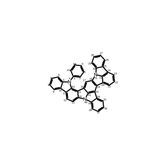 c1ccc(-n2c3ccccc3c3ccc4c(c5cc6c(c7cccc8c9ccccc9n6c87)c6c7ccccc7n4c56)c32)cc1